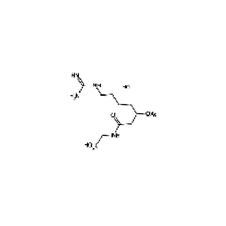 CC(=O)OC(CCCCNC(=N)N)CC(=O)NCC(=O)O.Cl